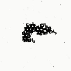 COc1nc(-c2cccc(-c3c(F)ccc(NC(=O)c4ccnn(C)c4=O)c3Cl)c2Cl)cc2c1[C@@H](N1CCN(C(C)=O)CC1)CC2